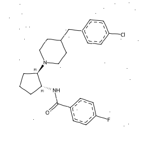 O=C(N[C@@H]1CCC[C@H]1N1CCC(Cc2ccc(Cl)cc2)CC1)c1ccc(F)cc1